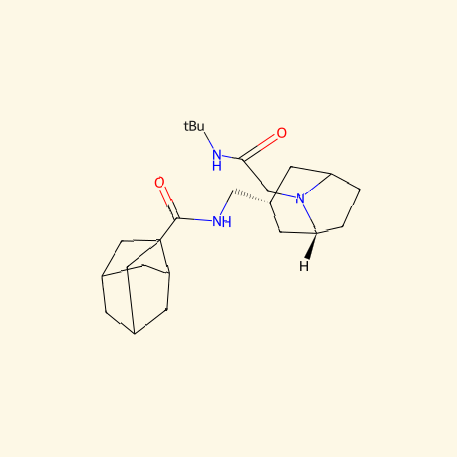 CC(C)(C)NC(=O)CN1C2CC[C@@H]1C[C@H](CNC(=O)C13CC4CC(CC1C4)C3)C2